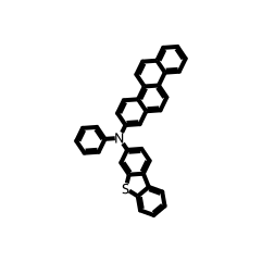 c1ccc(N(c2ccc3c(ccc4c5ccccc5ccc34)c2)c2ccc3c(c2)sc2ccccc23)cc1